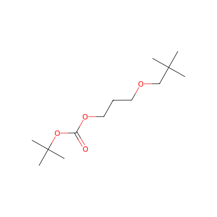 CC(C)(C)COCCCOC(=O)OC(C)(C)C